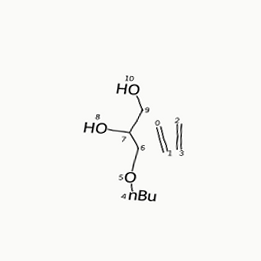 C=C.C=C.CCCCOCC(O)CO